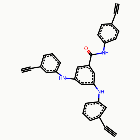 C#Cc1ccc(NC(=O)c2cc(Nc3cccc(C#C)c3)cc(Nc3cccc(C#C)c3)c2)cc1